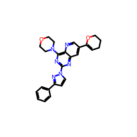 C1=C(c2cnc3c(N4CCOCC4)nc(-n4ccc(-c5ccccc5)n4)nc3c2)OCCC1